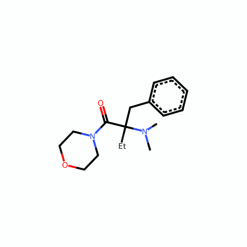 CCC(Cc1ccccc1)(C(=O)N1CCOCC1)N(C)C